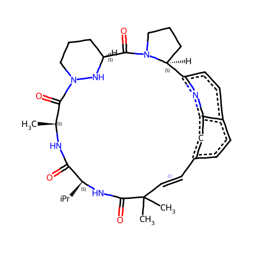 CC(C)[C@@H]1NC(=O)C(C)(C)/C=C/c2ccc3ccc(nc3c2)[C@@H]2CCCN2C(=O)[C@@H]2CCCN(N2)C(=O)[C@H](C)NC1=O